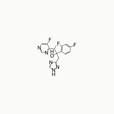 CC(c1ncncc1F)C(O)(Cc1nc[nH]n1)c1ccc(F)cc1F